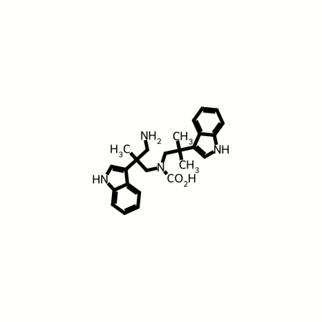 CC(C)(CN(CC(C)(CN)c1c[nH]c2ccccc12)C(=O)O)c1c[nH]c2ccccc12